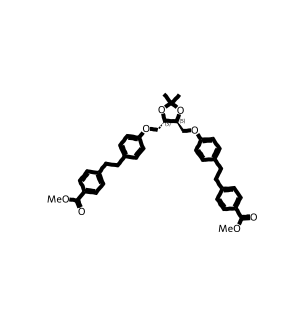 COC(=O)c1ccc(CCc2ccc(OC[C@@H]3OC(C)(C)O[C@H]3COc3ccc(CCc4ccc(C(=O)OC)cc4)cc3)cc2)cc1